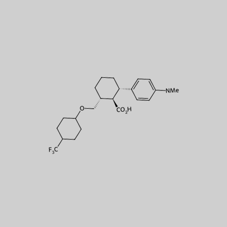 CNc1ccc([C@H]2CCC[C@@H](COC3CCC(C(F)(F)F)CC3)[C@@H]2C(=O)O)cc1